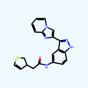 O=C(CC1C=CSC1)Nc1ccc2[nH]nc(-c3cn4ccccc4n3)c2c1